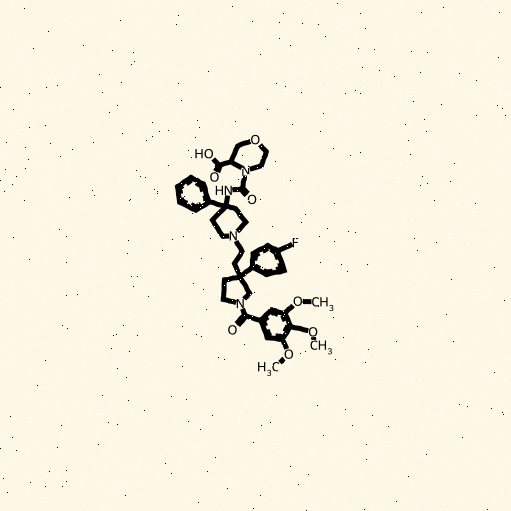 COc1cc(C(=O)N2CCC(CCN3CCC(NC(=O)N4CCOCC4C(=O)O)(c4ccccc4)CC3)(c3ccc(F)cc3)C2)cc(OC)c1OC